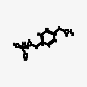 CCc1ccc(CO[PH](=O)Cl)cc1